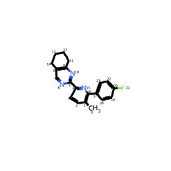 Cc1ccc(-c2ncc3c(n2)CCCC3)nc1-c1ccc(F)cc1